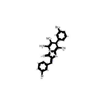 N#CC1=C(N)n2c(s/c(=C/c3cccc(Br)c3)c2=O)=C(C#N)C1c1cccc(Br)c1